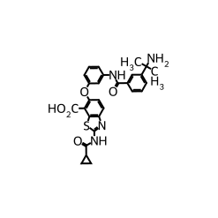 CC(C)(N)c1cccc(C(=O)Nc2cccc(Oc3ccc4nc(NC(=O)C5CC5)sc4c3C(=O)O)c2)c1